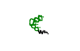 [Cl-].[Cl-].[Cl-].[Cl-].[Cl-].[W+5]